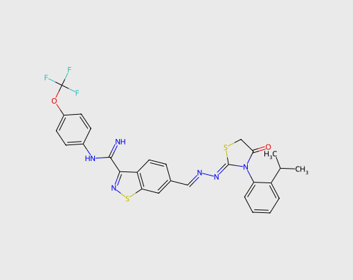 CC(C)c1ccccc1N1C(=O)CS/C1=N\N=C\c1ccc2c(C(=N)Nc3ccc(OC(F)(F)F)cc3)nsc2c1